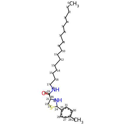 CCCCCCCCCCCCCCCCCCNC(=O)[C@@H]1CSC(c2ccc(C)cc2)N1